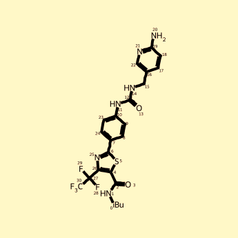 CCC(C)NC(=O)c1sc(-c2ccc(NC(=O)NCc3ccc(N)nc3)cc2)nc1C(F)(F)C(F)(F)F